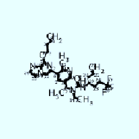 C=CCCOc1nc(-c2cc([C@@H](C)N(CC)C(=O)N[C@H](CC=C)CCC(F)(F)F)cnc2C)cn2ccnc12